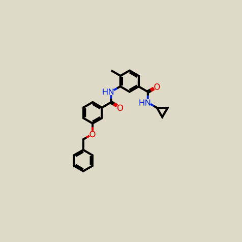 Cc1ccc(C(=O)NC2CC2)cc1NC(=O)c1cccc(OCc2ccccc2)c1